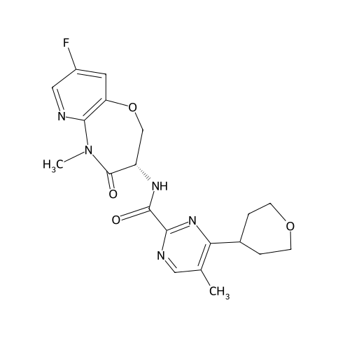 Cc1cnc(C(=O)N[C@H]2COc3cc(F)cnc3N(C)C2=O)nc1C1CCOCC1